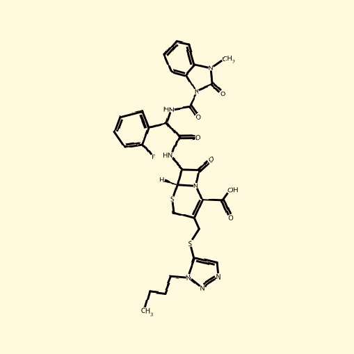 CCCCn1nncc1SCC1=C(C(=O)O)N2C(=O)C(NC(=O)C(NC(=O)n3c(=O)n(C)c4ccccc43)c3ccccc3F)[C@H]2SC1